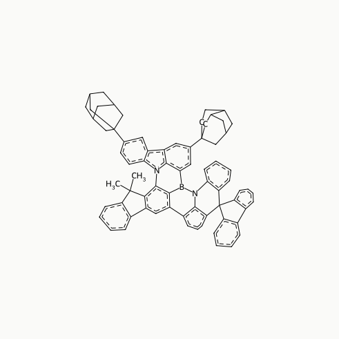 CC1(C)c2ccccc2-c2cc3c4c(c21)-n1c2ccc(C56CC7CC(CC(C7)C5)C6)cc2c2cc(C56CCC7CC(CC7C5)C6)cc(c21)B4N1c2ccccc2C2(c4ccccc4-c4ccccc42)c2cccc-3c21